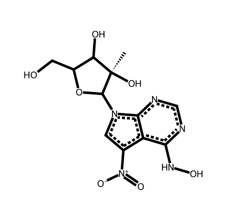 C[C@@]1(O)C(O)C(CO)OC1n1cc([N+](=O)[O-])c2c(NO)ncnc21